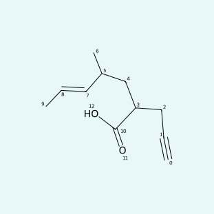 C#CCC(CC(C)C=CC)C(=O)O